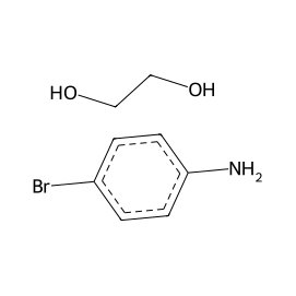 Nc1ccc(Br)cc1.OCCO